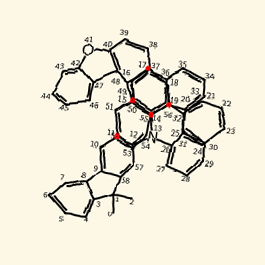 CC1(C)c2ccccc2-c2ccc(N(c3ccccc3-c3ccccc3)c3ccccc3-c3cccc4c5ccc6oc7ccccc7c6c5c5ccccc5c34)cc21